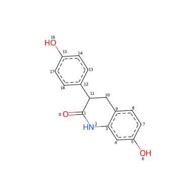 O=C1Nc2cc(O)ccc2CC1c1ccc(O)cc1